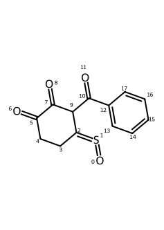 O=S=C1CCC(=O)C(=O)C1C(=O)c1ccccc1